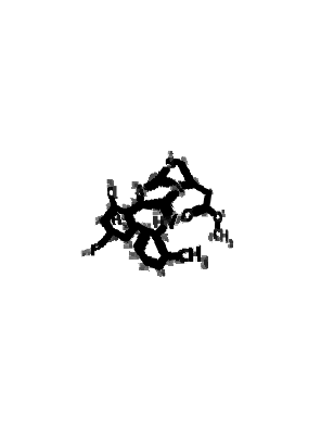 COC(=O)Cc1csc2nc(C3=CCC(F)C=C3Cl)c(Nc3c(C)cccc3C)n12